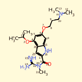 CC(C)Oc1cc(OCCCN(C)C)cc2[nH]c(C(=O)N(C)C(=N)N)cc12